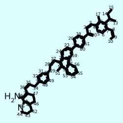 C=C(/C=C\c1ccc(/C=C\C)c(C(C)CC)c1C)c1ccc(-c2ccc3c(/C=C\Cc4ccc(C/C=C\C5=C(N)C6=C(CCC=N6)CC5)cc4)c(C)c4ccccc4c3c2)cc1